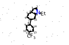 CCn1ccc2ccc(-c3ccc(C(F)(F)F)cc3)cc21